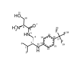 CC(C)[C@H](CNC(=O)[C@@H](N)CO)Nc1ccc(C(F)(F)F)cc1